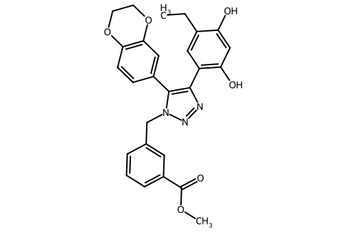 CCc1cc(-c2nnn(Cc3cccc(C(=O)OC)c3)c2-c2ccc3c(c2)OCCO3)c(O)cc1O